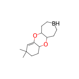 CC1(C)C=C2OC3CCBCCC3OC2CC1